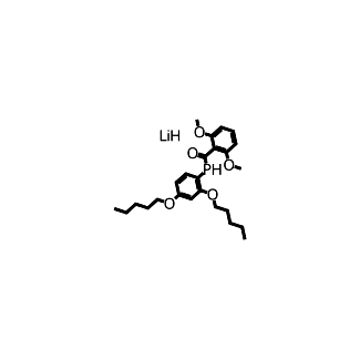 CCCCCOc1ccc(PC(=O)c2c(OC)cccc2OC)c(OCCCCC)c1.[LiH]